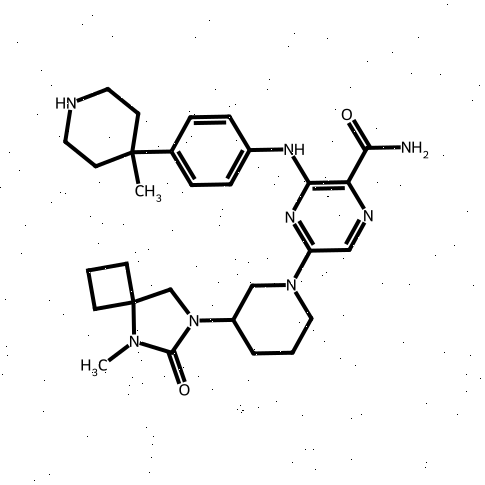 CN1C(=O)N(C2CCCN(c3cnc(C(N)=O)c(Nc4ccc(C5(C)CCNCC5)cc4)n3)C2)CC12CCC2